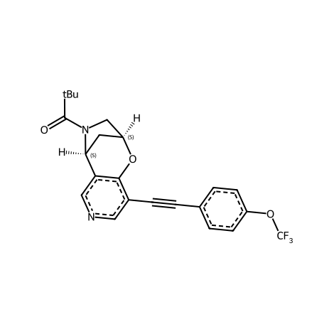 CC(C)(C)C(=O)N1C[C@@H]2C[C@H]1c1cncc(C#Cc3ccc(OC(F)(F)F)cc3)c1O2